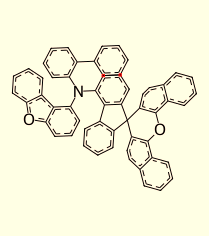 c1ccc(-c2ccccc2N(c2cccc3c2-c2ccccc2C32c3ccc4ccccc4c3Oc3c2ccc2ccccc32)c2cccc3oc4ccccc4c23)cc1